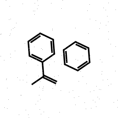 C=C(C)c1ccccc1.c1ccccc1